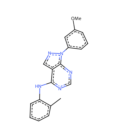 COc1cccc(-n2ncc3c(Nc4ccccc4C)ncnc32)c1